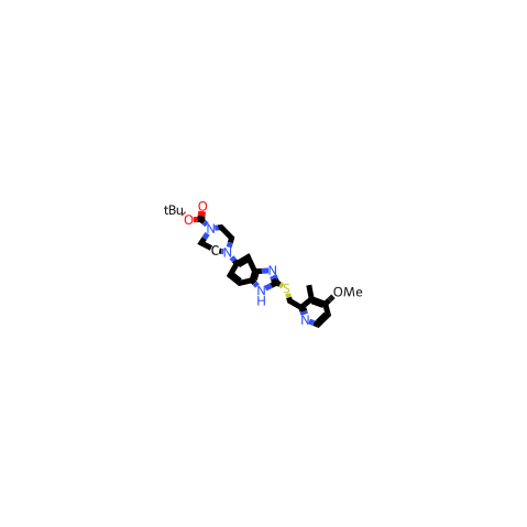 COc1ccnc(CSc2nc3cc(N4CCN(C(=O)OC(C)(C)C)CC4)ccc3[nH]2)c1C